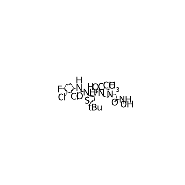 CC(C)(C)c1cc(C(=O)N2CCN(CC(=O)NO)C(=O)C2(C)C)c(NC(=O)Nc2ccc(F)c(Cl)c2Cl)s1